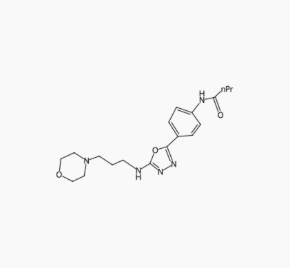 CCCC(=O)Nc1ccc(-c2nnc(NCCCN3CCOCC3)o2)cc1